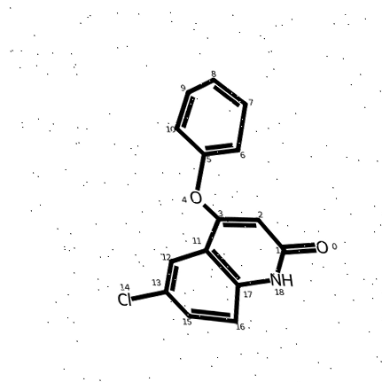 O=c1cc(Oc2ccccc2)c2cc(Cl)ccc2[nH]1